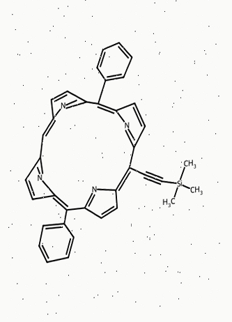 C[Si](C)(C)C#CC1=C2C=CC(=N2)C(c2ccccc2)=C2C=CC(=N2)C=C2C=CC(=N2)C(c2ccccc2)=C2C=CC1=N2